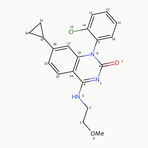 COCCNc1nc(=O)n(-c2ccccc2Cl)c2cc(C3CC3)ccc12